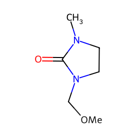 COCN1CCN(C)C1=O